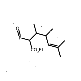 CCOC(=O)C(P=O)C(C)C(C)C=C(C)C